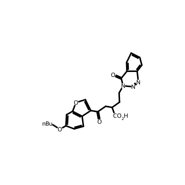 CCCCOc1ccc2c(C(=O)CC(CCn3nnc4ccccc4c3=O)C(=O)O)coc2c1